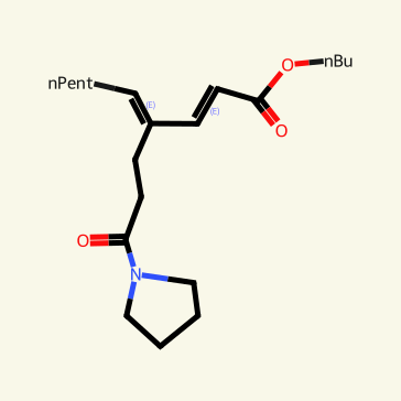 CCCCC/C=C(/C=C/C(=O)OCCCC)CCC(=O)N1CCCC1